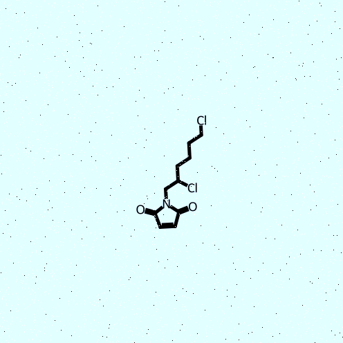 O=C1C=CC(=O)N1CC(Cl)CCCCCl